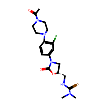 CC(=O)N1CCN(c2ccc(N3C[C@H](CNC(=S)N(C)C)OC3=O)cc2F)CC1